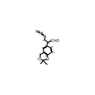 CC1(C)OCc2cc(C(C=O)CN=[N+]=[N-])ccc2O1